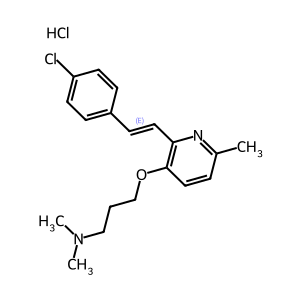 Cc1ccc(OCCCN(C)C)c(/C=C/c2ccc(Cl)cc2)n1.Cl